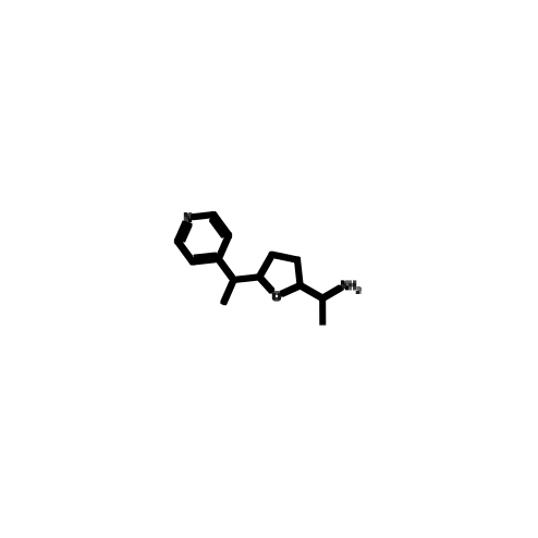 CC(N)C1CCC(C(C)c2ccncc2)O1